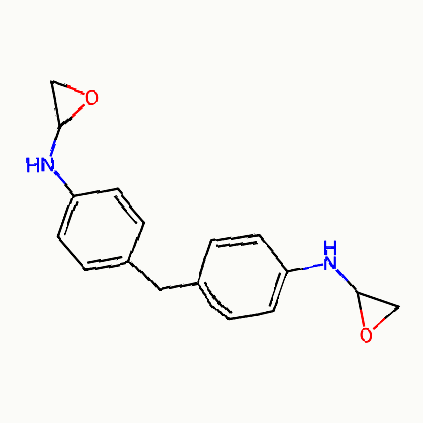 c1cc(NC2CO2)ccc1Cc1ccc(NC2CO2)cc1